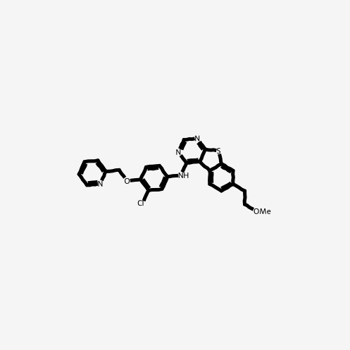 COCCc1ccc2c(c1)sc1ncnc(Nc3ccc(OCc4ccccn4)c(Cl)c3)c12